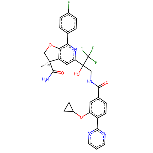 C[C@]1(C(N)=O)COc2c1cc(C(O)(CNC(=O)c1ccc(-c3ncccn3)c(OC3CC3)c1)C(F)(F)F)nc2-c1ccc(F)cc1